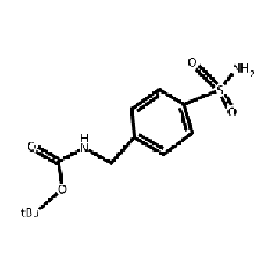 CC(C)(C)OC(=O)NCc1ccc(S(N)(=O)=O)cc1